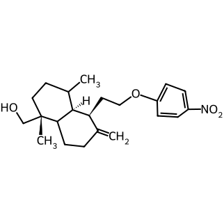 C=C1CCC2[C@@H](C(C)CC[C@@]2(C)CO)[C@H]1CCOc1ccc([N+](=O)[O-])cc1